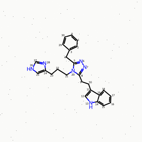 c1ccc(Cc2nnc(CCc3c[nH]c4ccccc34)n2CCCc2c[nH]cn2)cc1